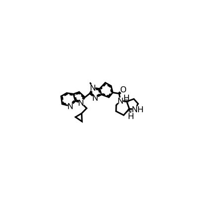 Cn1c(-c2cc3cccnc3n2CC2CC2)nc2cc(C(=O)N3CCC[C@H]4NCC[C@H]43)ccc21